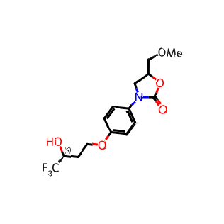 COCC1CN(c2ccc(OCC[C@H](O)C(F)(F)F)cc2)C(=O)O1